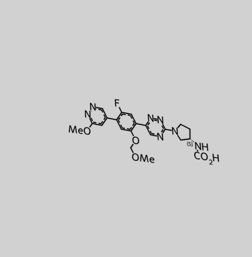 COCOc1cc(-c2cnnc(OC)c2)c(F)cc1-c1cnc(N2CC[C@H](NC(=O)O)C2)nn1